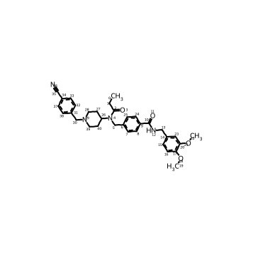 CCC(=O)N(Cc1ccc(C(=O)NCc2ccc(OC)c(OC)c2)cc1)C1CCN(Cc2ccc(C#N)cc2)CC1